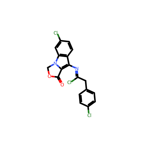 O=C1OCn2c1c(/N=C(\Cl)Cc1ccc(Cl)cc1)c1ccc(Cl)cc12